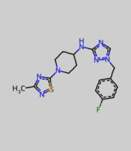 Cc1nsc(N2CCC(Nc3ncn(Cc4ccc(F)cc4)n3)CC2)n1